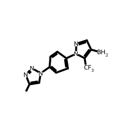 Bc1cnn(-c2ccc(-n3cc(C)nn3)cc2)c1C(F)(F)F